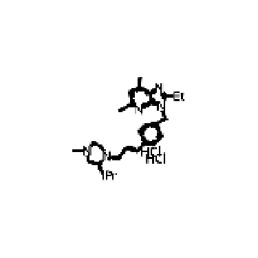 CCc1nc2c(C)cc(C)nc2n1Cc1ccc(C=CCN2CCN(C)CC2C(C)C)cc1.Cl.Cl